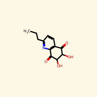 CCCc1ccc2c(n1)C(=O)C(O)C(O)C2=O